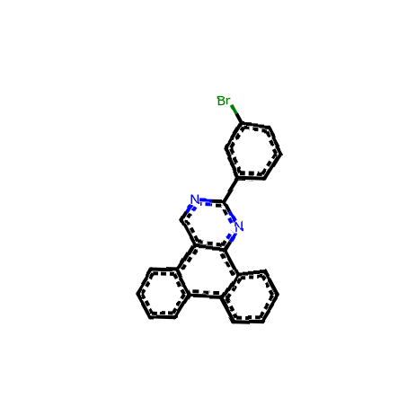 Brc1cccc(-c2ncc3c4ccccc4c4ccccc4c3n2)c1